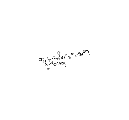 Cc1cc(Cl)cc2c1O[C@H](C(F)(F)F)C(C(=O)OCCSCCO[N+](=O)[O-])=C2